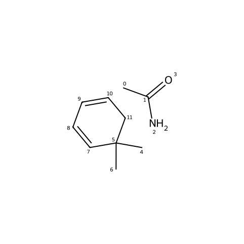 CC(N)=O.CC1(C)C=CC=CC1